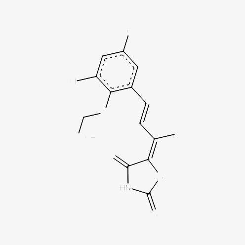 CC(/C=C/c1cc(Cl)cc(Cl)c1OCC(=O)O)=C1\SC(=S)NC1=O